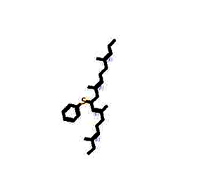 CC/C=C(\C)CC/C=C(\C)CC(/C=C(\C)CC/C=C(\C)CC)Sc1ccccc1